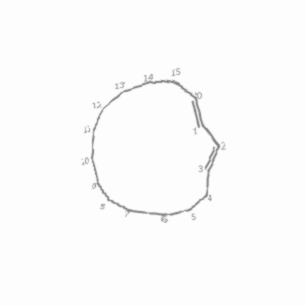 [C]1=C/C=C/CCCCCCCCCCCC/1